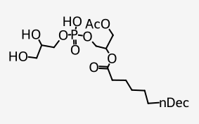 CCCCCCCCCCCCCCCC(=O)OC(COC(C)=O)COP(=O)(O)OCC(O)CO